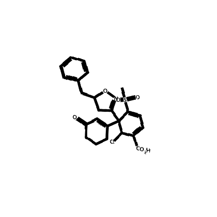 CS(=O)(=O)C1=CC=C(C(=O)O)C(Cl)C1(C1=CC(=O)CCC1)C1=NOC(Cc2ccccc2)C1